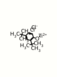 CC(C)(C)c1ccc([O][Ti+2])c(C(C)(C)C)c1.[Cl-].[Cl-]